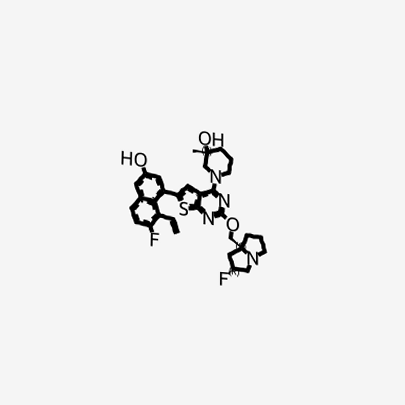 C=Cc1c(F)ccc2cc(O)cc(-c3cc4c(N5CCC[C@@](C)(O)C5)nc(OC[C@@]56CCCN5C[C@H](F)C6)nc4s3)c12